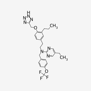 CCCc1cc(CCN(Cc2ccc(OC(F)(F)F)cc2)c2ncc(CC)cn2)ccc1OCc1nn[nH]n1